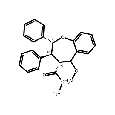 COC(=O)[C@H]1C(ON)c2ccccc2O[C@@H](c2ccccc2)[C@@H]1c1ccccc1